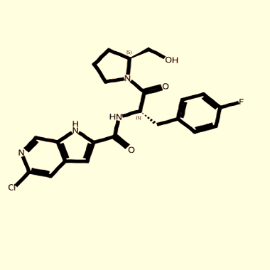 O=C(N[C@@H](Cc1ccc(F)cc1)C(=O)N1CCC[C@H]1CO)c1cc2cc(Cl)ncc2[nH]1